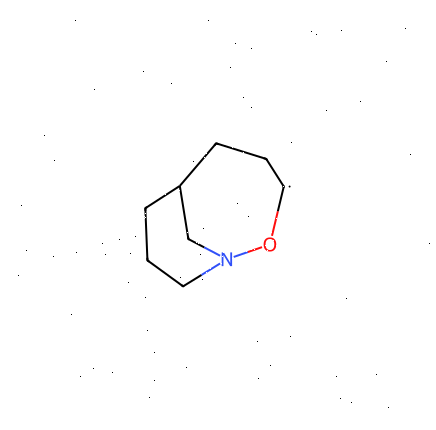 [CH]1CCC2CCCN(C2)O1